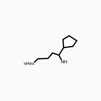 CCCCCCCCCC([NH])C1CCCC1